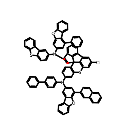 Clc1cc2c3c(c1)-c1cccc4c1C3(c1ccc(N(c3ccc(-c5ccccc5)cc3)c3cc(-c5ccc6ccccc6c5)c5oc6ccccc6c5c3)cc1S2)c1cccc(N(c2cc(-c3ccccc3)c3c(c2)oc2ccccc23)c2ccc3sc5ccccc5c3c2)c1-4